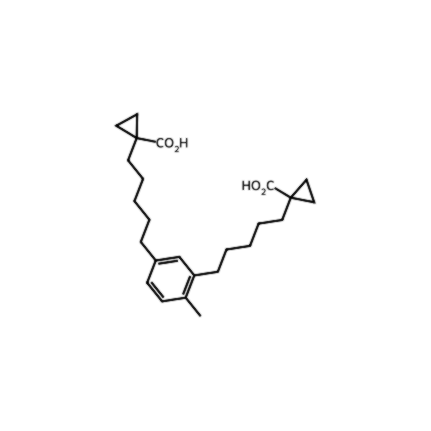 Cc1ccc(CCCCCC2(C(=O)O)CC2)cc1CCCCCC1(C(=O)O)CC1